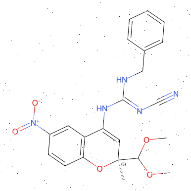 COC(OC)[C@]1(C)C=C(NC(=NC#N)NCc2ccccc2)c2cc([N+](=O)[O-])ccc2O1